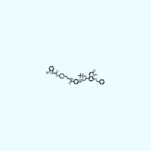 CC(C)(C)[Si](C)(C)OC(CNCc1ccc(C(=O)NCCN2CCC(OC(=O)Nc3ccccc3Br)CC2)cc1)c1ccc(OCc2ccccc2)c2[nH]c(=O)ccc12